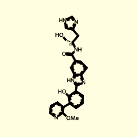 COc1ncccc1-c1cccc(-c2nc3ccc(C(=O)N[C@H](CO)Cc4c[nH]cn4)cc3[nH]2)c1O